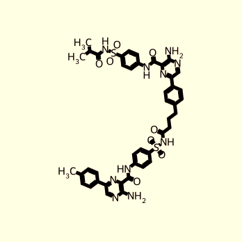 Cc1ccc(-c2cnc(N)c(C(=O)Nc3ccc(S(=O)(=O)NC(=O)CCCc4ccc(-c5cnc(N)c(C(=O)Nc6ccc(S(=O)(=O)NC(=O)C(C)C)cc6)n5)cc4)cc3)n2)cc1